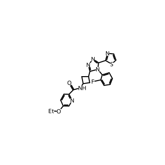 CCOc1ccc(C(=O)NC2CC(c3nnc(-c4nccs4)n3-c3ccccc3F)C2)nc1